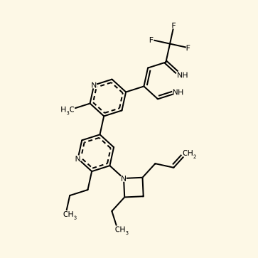 C=CCC1CC(CC)N1c1cc(-c2cc(/C(C=N)=C/C(=N)C(F)(F)F)cnc2C)cnc1CCC